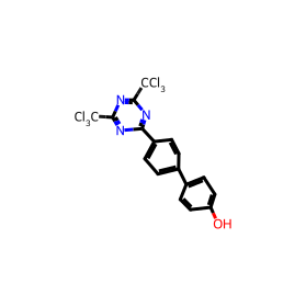 Oc1ccc(-c2ccc(-c3nc(C(Cl)(Cl)Cl)nc(C(Cl)(Cl)Cl)n3)cc2)cc1